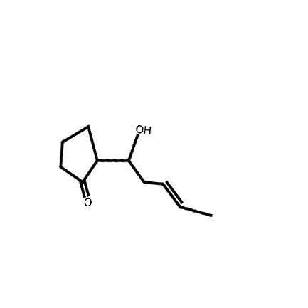 C/C=C/CC(O)C1CCCC1=O